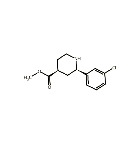 COC(=O)[C@H]1CCN[C@@H](c2cccc(Cl)c2)C1